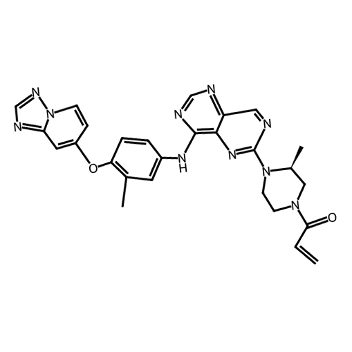 C=CC(=O)N1CCN(c2ncc3ncnc(Nc4ccc(Oc5ccn6ncnc6c5)c(C)c4)c3n2)[C@@H](C)C1